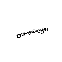 O=C(O)COCCOCCOCCCOCc1ccccc1